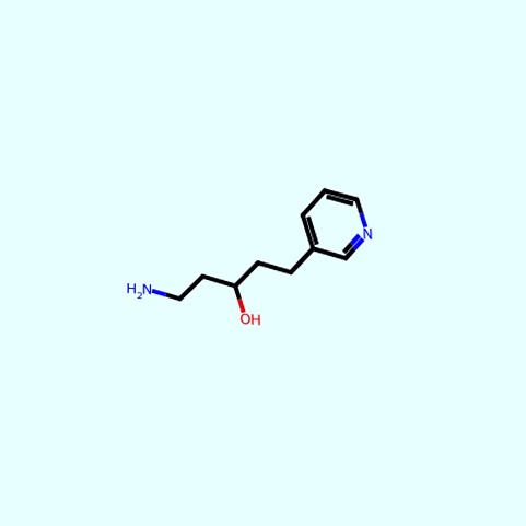 NCCC(O)CCc1cccnc1